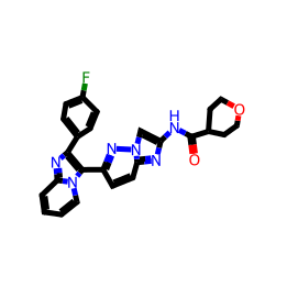 O=C(Nc1cn2nc(-c3c(-c4ccc(F)cc4)nc4ccccn34)ccc2n1)C1CCOCC1